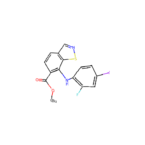 CC(C)(C)OC(=O)c1ccc2cnsc2c1Nc1ccc(I)cc1F